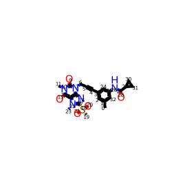 Cc1cc(C#CCn2c(=O)n(C)c(=O)c3c2nc(S(C)(=O)=O)n3C)cc(NC(=O)C2CC2)c1